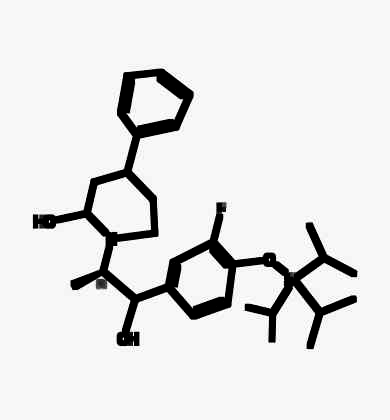 CC(C)[Si](Oc1ccc(C(O)[C@@H](C)N2CCC(c3ccccc3)CC2O)cc1F)(C(C)C)C(C)C